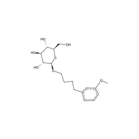 COc1cccc(CCCCO[C@@H]2O[C@H](CO)[C@@H](O)[C@H](O)[C@H]2O)c1